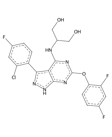 OCC(CO)Nc1nc(Oc2ccc(F)cc2F)nc2[nH]nc(-c3ccc(F)cc3Cl)c12